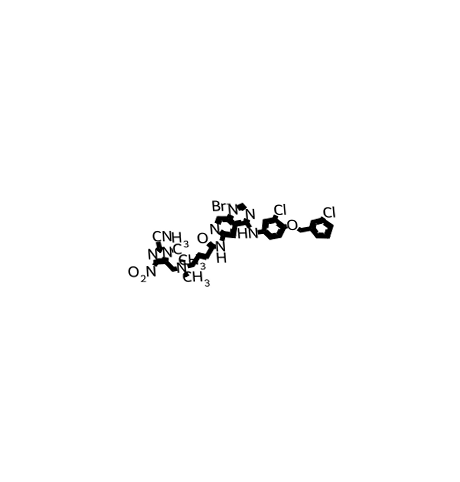 Cn1c(C#N)nc([N+](=O)[O-])c1C[N+](C)(C)C/C=C/C(=O)Nc1cc2c(Nc3ccc(OCc4cccc(Cl)c4)c(Cl)c3)ncnc2cn1.[Br-]